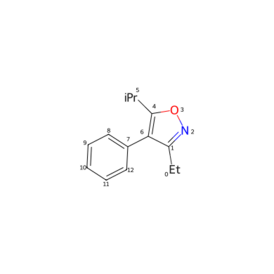 CCc1noc(C(C)C)c1-c1ccccc1